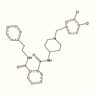 O=C(NCCc1ccccc1)c1ccccc1C(=O)NC1CCN(Cc2ccc(Cl)c(Cl)c2)CC1